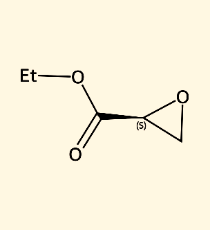 CCOC(=O)[C@@H]1CO1